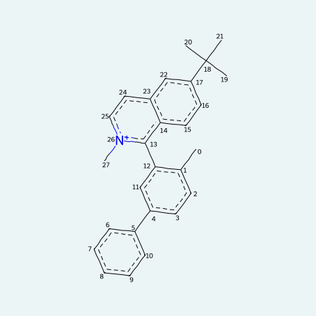 Cc1ccc(-c2ccccc2)cc1-c1c2ccc(C(C)(C)C)cc2cc[n+]1C